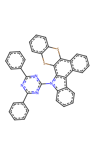 c1ccc(-c2nc(-c3ccccc3)nc(-n3c4ccccc4c4c5ccccc5c5c(c43)Sc3ccccc3S5)n2)cc1